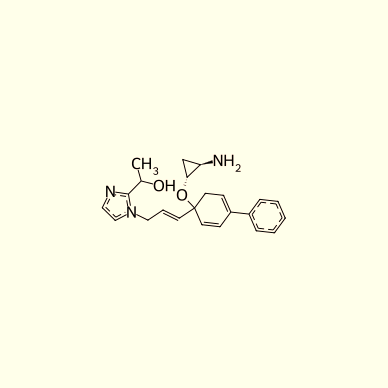 CC(O)c1nccn1C/C=C/C1(O[C@@H]2C[C@H]2N)C=CC(c2ccccc2)=CC1